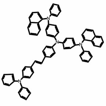 C(=Cc1ccc(N(c2ccc(N(c3ccccc3)c3cccc4ccccc34)cc2)c2ccc(N(c3ccccc3)c3cccc4ccccc34)cc2)cc1)c1ccc(N(c2ccccc2)c2ccccc2)cc1